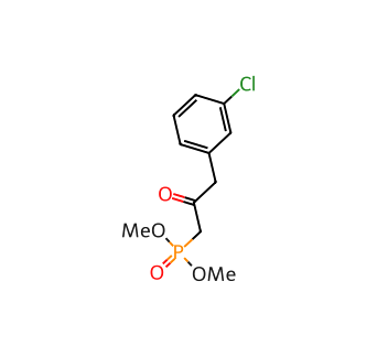 COP(=O)(CC(=O)Cc1cccc(Cl)c1)OC